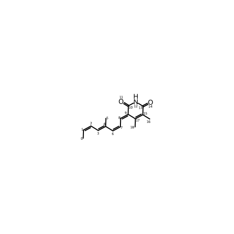 C\C=C/C=C(C)/C=C\C=C1\C(=O)NC(=O)C(C)=C1C